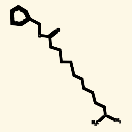 CN(C)CCCCCCCCCCC(=O)OCc1ccccc1